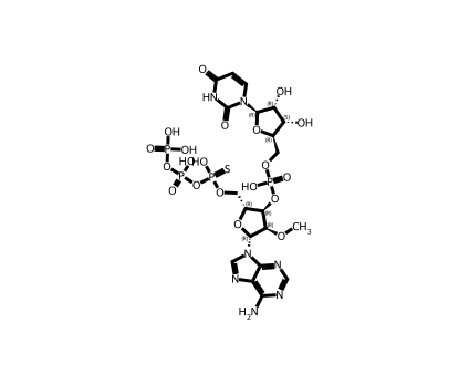 CO[C@@H]1[C@H](OP(=O)(O)OC[C@H]2O[C@@H](n3ccc(=O)[nH]c3=O)[C@H](O)[C@@H]2O)[C@@H](COP(O)(=S)OP(=O)(O)OP(=O)(O)O)O[C@H]1n1cnc2c(N)ncnc21